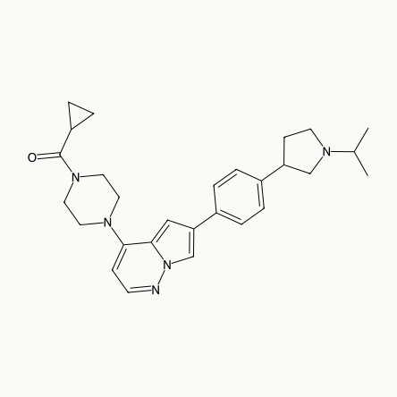 CC(C)N1CCC(c2ccc(-c3cc4c(N5CCN(C(=O)C6CC6)CC5)ccnn4c3)cc2)C1